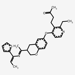 C/C=C(\N=C(/C)C1COc2ccc(Oc3ccnc(CC)c3CCC(C)=O)cc2C1)c1cccs1